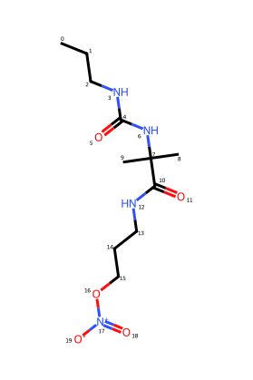 CCCNC(=O)NC(C)(C)C(=O)NCCCO[N+](=O)[O-]